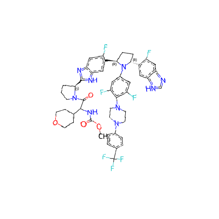 COC(=O)NC(C(=O)N1CCC[C@H]1c1nc2cc(F)c([C@H]3CC[C@H](c4cc5[nH]cnc5cc4F)N3c3cc(F)c(N4CCN(c5ccc(C(F)(F)F)cc5)CC4)c(F)c3)cc2[nH]1)C1CCOCC1